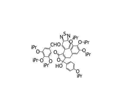 CC(C)Oc1cc(C=O)cc(OC(C)C)c1OC(C)C.CC(C)Oc1ccc(C2(O)OC(=O)C(c3ccc4nsnc4c3)=C2Cc2cc(OC(C)C)c(OC(C)C)c(OC(C)C)c2)cc1